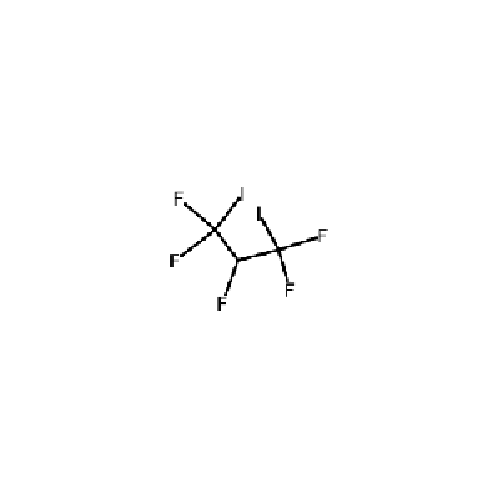 FC(C(F)(F)I)C(F)(F)I